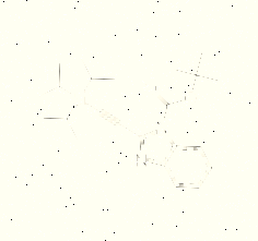 CC(C)[Si](C#Cc1nc2ccccc2n1C(=O)OC(C)(C)C)(C(C)C)C(C)C